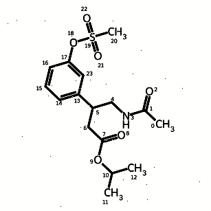 CC(=O)NCC(CC(=O)OC(C)C)c1cccc(OS(C)(=O)=O)c1